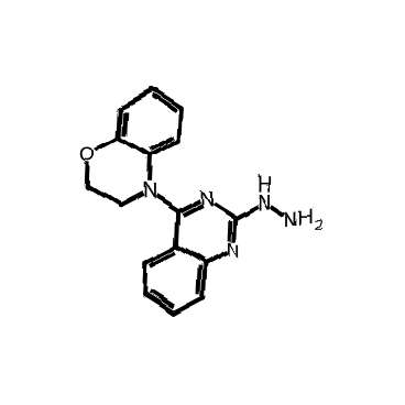 NNc1nc(N2CCOc3ccccc32)c2ccccc2n1